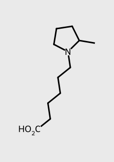 CC1CCCN1CCCCCC(=O)O